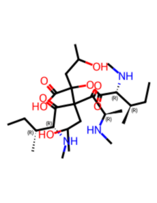 CC[C@@H](C)[C@@H](NC)C(=O)OC(CC(C)O)(C(=O)O)C(CC(C)O)(C(=O)[C@@H](C)NC)C(=O)[C@H](NC)[C@H](C)CC